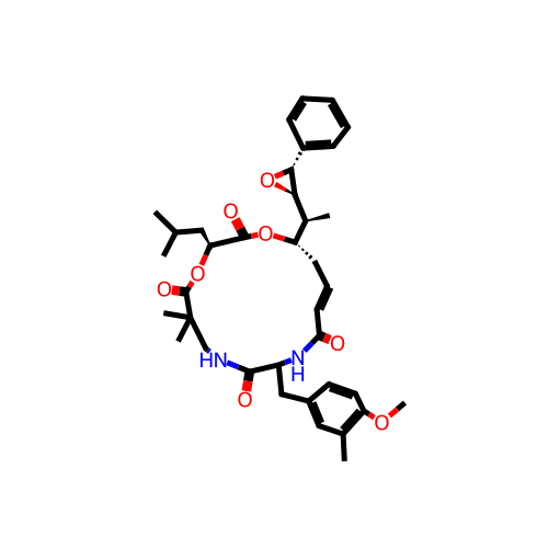 COc1ccc(CC2NC(=O)/C=C/C[C@@H]([C@H](C)[C@H]3O[C@@H]3c3ccccc3)OC(=O)[C@H](CC(C)C)OC(=O)C(C)(C)CNC2=O)cc1C